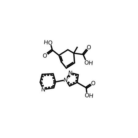 CC1(C(=O)O)C=CC=C(C(=O)O)C1.O=C(O)c1cnn(-c2cccnc2)c1